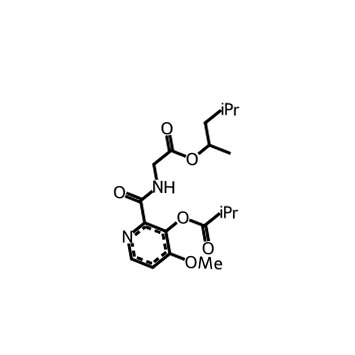 COc1ccnc(C(=O)NCC(=O)OC(C)CC(C)C)c1OC(=O)C(C)C